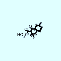 Cc1ccc2c(c1)C(=O)C(C(=O)C(=O)O)C(C)(C)S2